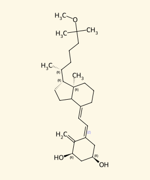 C=C1/C(=C\C=C2CCC[C@@]3(C)C2CC[C@@H]3[C@H](C)CCCC(C)(C)OC)C[C@@H](O)C[C@H]1O